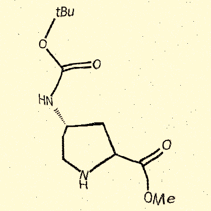 COC(=O)C1C[C@@H](NC(=O)OC(C)(C)C)CN1